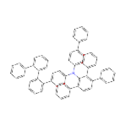 c1ccc(-c2ccc(N(c3ccc(-c4ccccc4-c4ccccc4-c4ccccc4)cc3)c3c(-c4ccccc4)ccc(-c4ccccc4)c3-c3ccccc3)cc2)cc1